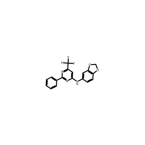 FC(F)(F)c1cc(Nc2ccc3c(c2)OCO3)nc(-c2ccccc2)n1